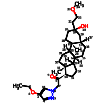 CCOc1cnn(CC(=O)[C@H]2CC[C@H]3[C@@H]4CC[C@H]5C[C@@](O)(CCOC)CC[C@]5(C)[C@H]4CC[C@]23C)c1